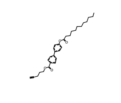 C#CCCCOC(=O)c1ccc(-c2ccc(OC(=O)CCCCCCCCCCC)cc2)cc1